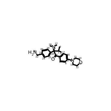 CC(C)C(C(=O)c1ccc(N2CCOCC2)cc1)(c1ccc(CN)cc1)N(C)C